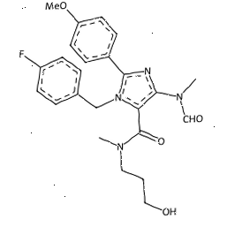 COc1ccc(-c2nc(N(C)C=O)c(C(=O)N(C)CCCO)n2Cc2ccc(F)cc2)cc1